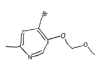 COCOc1cnc(C)cc1Br